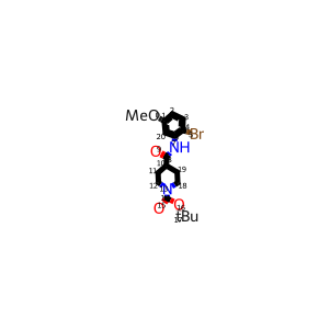 COc1ccc(Br)c(NC(=O)C2CCN(C(=O)OC(C)(C)C)CC2)c1